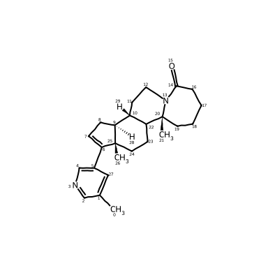 Cc1cncc(C2=CC[C@H]3[C@@H]4CCN5C(=O)CCCC[C@]5(C)C4CC[C@]23C)c1